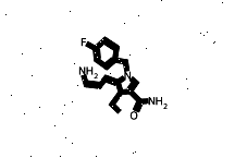 CCC1C(C(N)=O)=CN(Cc2ccc(F)cc2)/C1=C/C=C\N